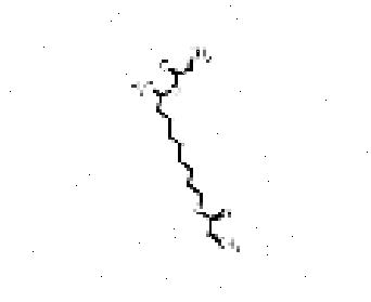 C=CC(=O)OCCCCCCCCC(C)OC(=O)C=C